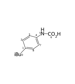 CCC(C)c1ccc(NC(=O)O)cc1